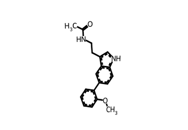 COc1ccccc1-c1ccc2[nH]cc(CCNC(C)=O)c2c1